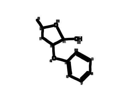 CC1CC(Oc2ccccc2)C(O)O1